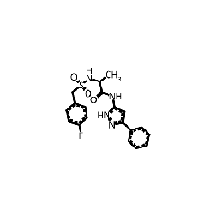 CC(NS(=O)(=O)Cc1ccc(F)cc1)C(=O)Nc1cc(-c2ccccc2)n[nH]1